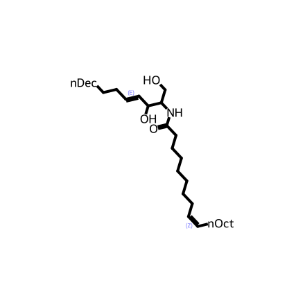 CCCCCCCC/C=C\CCCCCCCC(=O)NC(CO)C(O)/C=C/CCCCCCCCCCCC